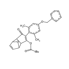 Cc1cc(OCc2ccccc2)cc(C)c1C1=C(OC(=O)C(C)(C)C)C2C3C=CC(O3)C2C1=O